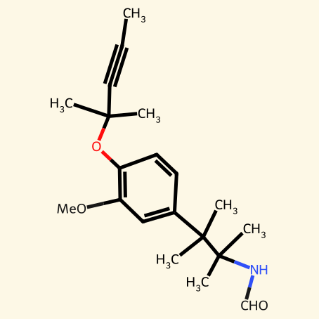 CC#CC(C)(C)Oc1ccc(C(C)(C)C(C)(C)NC=O)cc1OC